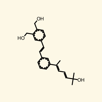 C/C(=C\C=C\C(C)(C)O)c1cccc(/C=C/c2ccc(CO)c(CO)c2)c1